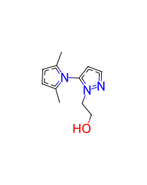 Cc1ccc(C)n1-c1ccnn1CCO